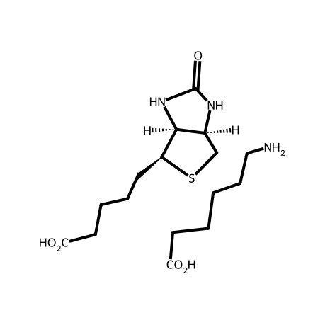 NCCCCCC(=O)O.O=C(O)CCCC[C@@H]1SC[C@@H]2NC(=O)N[C@@H]21